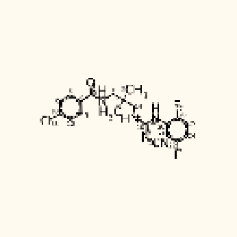 CC(C)(CNC(=O)c1ccc(Cl)cc1)CNC(=NC#N)Nc1cc(F)ccc1F